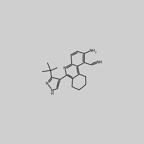 CC(C)(C)c1n[nH]cc1-c1nc2ccc(N)c(C=N)c2c2c1CCCC2